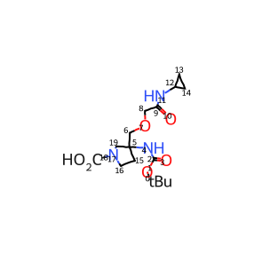 CC(C)(C)OC(=O)NC1(COCC(=O)NC2CC2)CCN(C(=O)O)C1